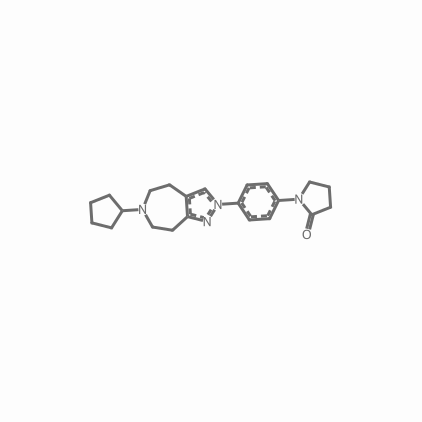 O=C1CCCN1c1ccc(-n2cc3c(n2)CCN(C2CCCC2)CC3)cc1